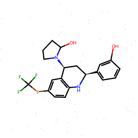 Oc1cccc([C@@H]2C[C@H](N3CCCC3O)c3cc(SC(F)(F)F)ccc3N2)c1